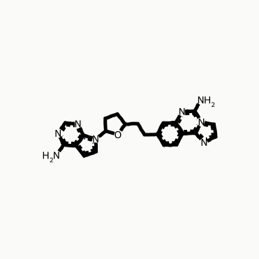 Nc1ncnc2c1ccn2C1CCC(CCc2ccc3c(c2)nc(N)n2ccnc32)O1